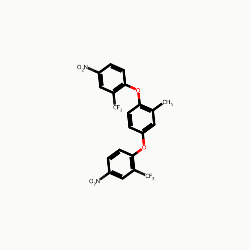 Cc1cc(Oc2ccc([N+](=O)[O-])cc2C(F)(F)F)ccc1Oc1ccc([N+](=O)[O-])cc1C(F)(F)F